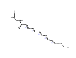 CCC/C=C/C=C/C=C/C=C/C=C/C(=O)NCC(C)C